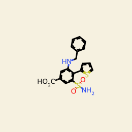 NS(=O)(=O)c1cc(C(=O)O)cc(NCc2ccccc2)c1-c1cccs1